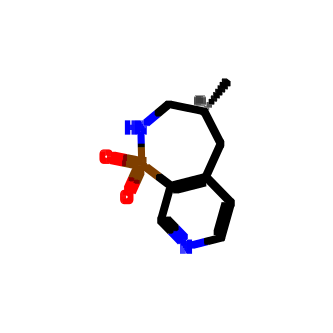 C[C@H]1CNS(=O)(=O)c2cnccc2C1